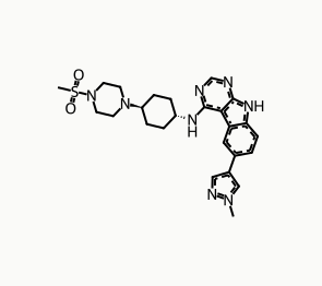 Cn1cc(-c2ccc3[nH]c4ncnc(N[C@H]5CC[C@H](N6CCN(S(C)(=O)=O)CC6)CC5)c4c3c2)cn1